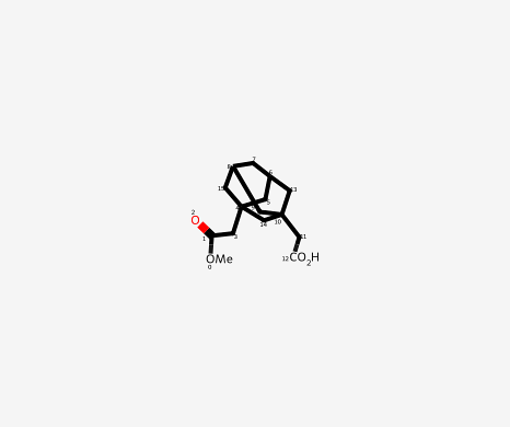 COC(=O)CC12CC3CC(CC(CC(=O)O)(C3)C1)C2